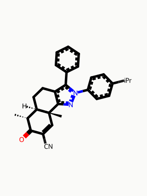 CC(C)c1ccc(-n2nc3c(c2-c2ccccc2)CC[C@@H]2[C@@H](C)C(=O)C(C#N)=C[C@@]32C)cc1